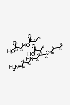 CCC(=O)O.CCC(=O)O.CCC(=O)O.CCCCOCCCNCCCN